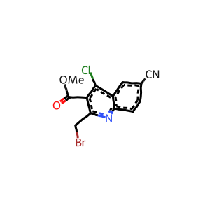 COC(=O)c1c(CBr)nc2ccc(C#N)cc2c1Cl